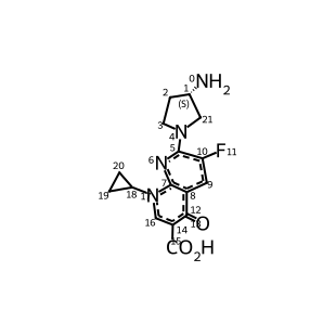 N[C@H]1CCN(c2nc3c(cc2F)c(=O)c(C(=O)O)cn3C2CC2)C1